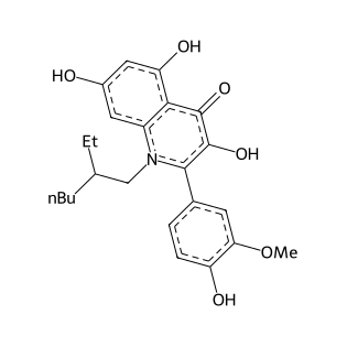 CCCCC(CC)Cn1c(-c2ccc(O)c(OC)c2)c(O)c(=O)c2c(O)cc(O)cc21